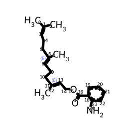 CC(C)=CCC/C(C)=C/CC/C(C)=C/COC(=O)c1ccccc1N